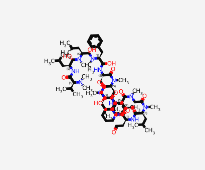 CC(C)C[C@H](NC(=O)[C@H](C(C)C)N(C)C)C(O)N(C)[C@@H](CC(C)C)C(O)N(C)[C@@H](Cc1ccccc1)C(O)N[C@@H](COCCO)C(=O)N(C)[C@@H](CCc1ccccc1)C(=O)N(C)[C@@H](CC(C)C)C(=O)N[C@H](C(=O)N(C)CC(=O)N(C)[C@@H](CC(C)C)C(=O)N[C@@H](CC=O)C(=O)N1CCCCC1)[C@@H](C)O